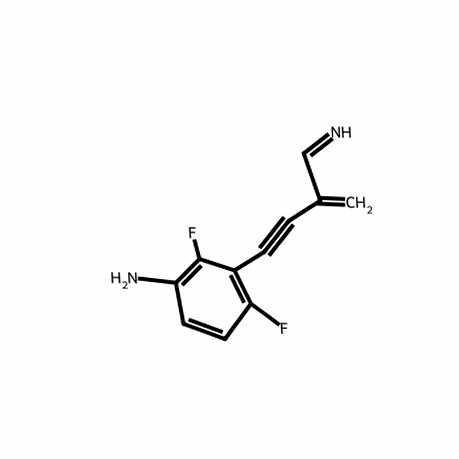 C=C(C#Cc1c(F)ccc(N)c1F)C=N